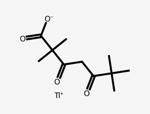 CC(C)(C)C(=O)CC(=O)C(C)(C)C(=O)[O-].[Tl+]